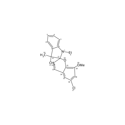 CCN1c2ccccc2C(C)(C)C12C=Cc1cc(Cl)cc(OC)c1O2